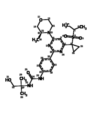 CC(C)S(=O)(=O)C1(c2cc(N3CCOC[C@@H]3C)nc(-c3ccc(NC(=O)NC(C)(C)CO)cc3)n2)CC1